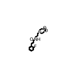 O=C(C=Cc1ccccc1F)NCCCN1CCS(=O)(=O)CC1